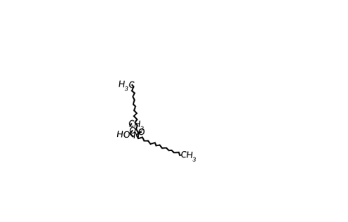 CCCCCCCCCCCCCCCCN(CC(O)OCC)C(=O)CCCCCCCCCCCCCCC